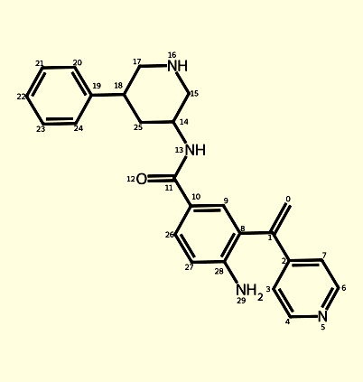 C=C(c1ccncc1)c1cc(C(=O)NC2CNCC(c3ccccc3)C2)ccc1N